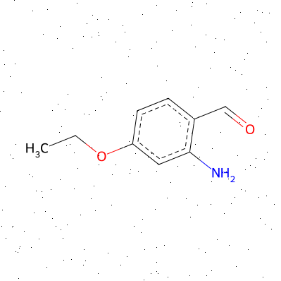 CCOc1ccc(C=O)c(N)c1